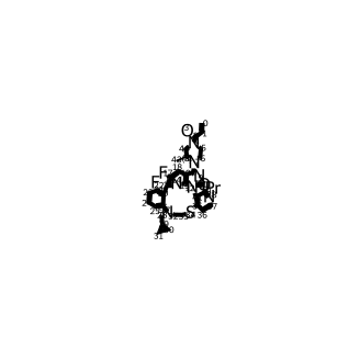 C=CC(=O)N1CCN(c2nc(=O)n3c4nc(c(F)cc24)-c2c(F)cccc2N(CC2CC2)CCSc2ccnc(C(C)C)c2-3)[C@@H](C)C1